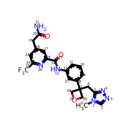 Cn1cnnc1CC1(c2cccc(NC(=O)c3cc(CC(N)=O)cc(C(F)(F)F)n3)c2)COC1